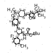 Cc1ccc(F)c([C@H]2CN(c3ncc(O[C@@H](C)C4CCN(c5nc(C(C)(C)O)no5)CC4)cn3)C[C@@H]2NC(=O)OC(C)(C)C)c1